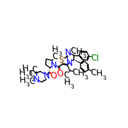 Cc1ccc([C@H]2N3C(=N[C@@]2(C)c2ccc(Cl)cc2)SC(C(=O)N2[C@H](C)CC[C@H]2C(=O)N2CCN(C)C(C)(C)C2)=C3C(C)C)cc1